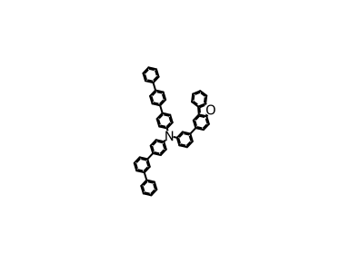 c1ccc(-c2ccc(-c3ccc(N(c4ccc(-c5cccc(-c6ccccc6)c5)cc4)c4cccc(-c5ccc6oc7ccccc7c6c5)c4)cc3)cc2)cc1